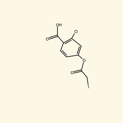 O=C(CI)Oc1ccc(C(=O)O)c(Cl)c1